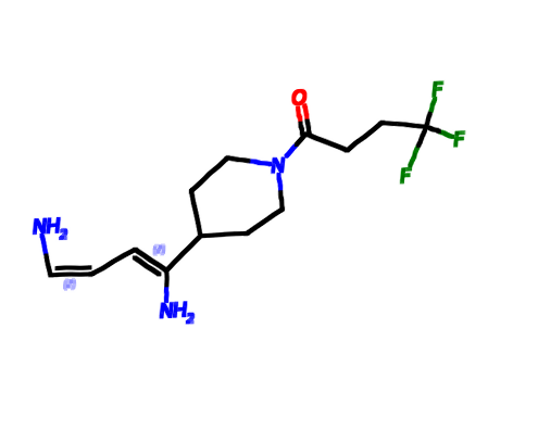 N/C=C\C=C(/N)C1CCN(C(=O)CCC(F)(F)F)CC1